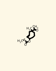 CSC(=O)OC1/C=C/CC(C)(C(C)=O)CCC1